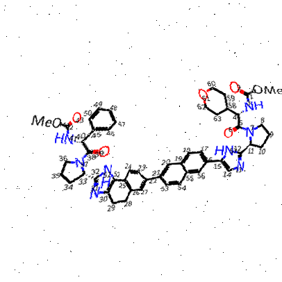 COC(=O)N[C@H](C(=O)N1CCC[C@H]1c1ncc(-c2ccc3cc(-c4ccc5c(c4)CCc4nc([C@@H]6CCCN6C(=O)[C@H](NC(=O)OC)c6ccccc6)[nH]c4-5)ccc3c2)[nH]1)C1CCOCC1